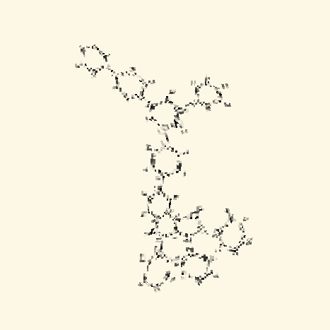 c1ccc(-c2ccc(-c3cc(-c4ccc(-c5ccc6nc(-c7ccccc7)c7c(-c8ccccn8)c(-c8ccccn8)oc7c6c5)cc4)nc(-c4ccccc4)n3)cc2)cc1